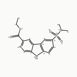 CCOC(=O)c1cc2c(cn1)[nH]c1ccc(S(=O)(=O)N(C)C)cc12